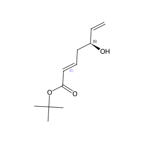 C=C[C@@H](O)C/C=C/C(=O)OC(C)(C)C